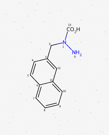 NN(Cc1ccc2ccccc2c1)C(=O)O